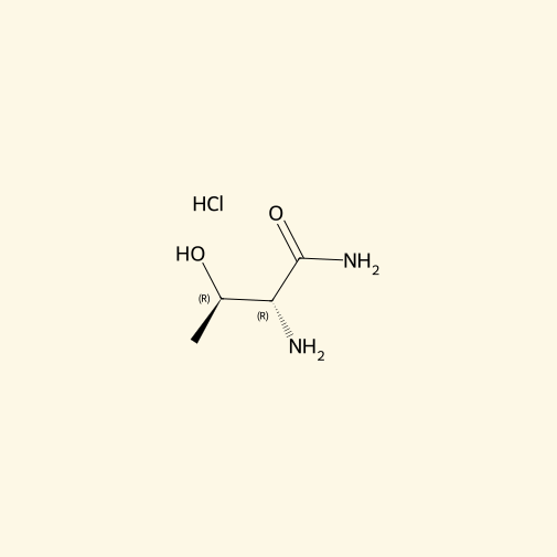 C[C@@H](O)[C@@H](N)C(N)=O.Cl